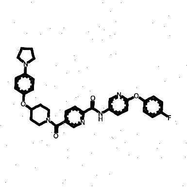 O=C(Nc1ccc(Oc2ccc(F)cc2)nc1)c1ccc(C(=O)N2CCC(Oc3ccc(N4CCCC4)cc3)CC2)cn1